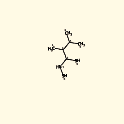 CC(C)C(C)C(S)NS